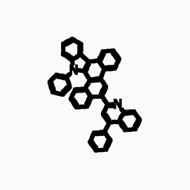 c1ccc(-c2cc(-c3cc4c5ccccc5c5c6ccccc6n(-c6ccccc6)c5c4c4ccccc34)nc3ccccc23)cc1